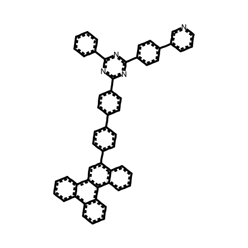 c1ccc(-c2nc(-c3ccc(-c4ccc(-c5cc6c7ccccc7c7ccccc7c6c6ccccc56)cc4)cc3)nc(-c3ccc(-c4cccnc4)cc3)n2)cc1